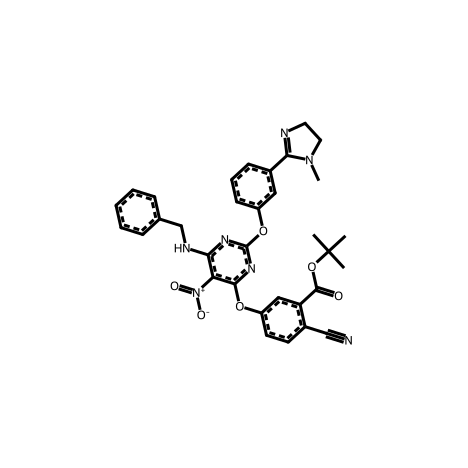 CN1CCN=C1c1cccc(Oc2nc(NCc3ccccc3)c([N+](=O)[O-])c(Oc3ccc(C#N)c(C(=O)OC(C)(C)C)c3)n2)c1